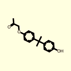 CC(=O)COc1ccc(C(C)(C)c2ccc(O)cc2)cc1